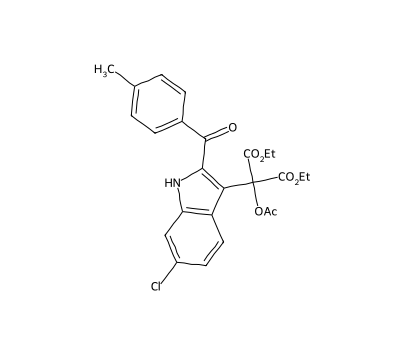 CCOC(=O)C(OC(C)=O)(C(=O)OCC)c1c(C(=O)c2ccc(C)cc2)[nH]c2cc(Cl)ccc12